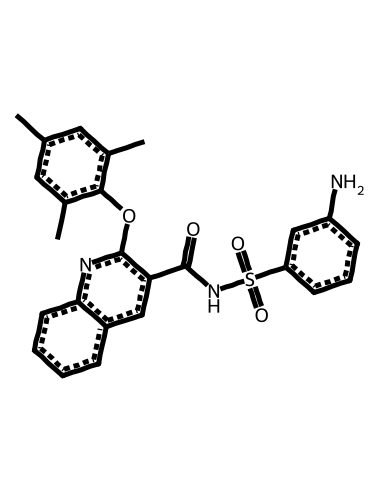 Cc1cc(C)c(Oc2nc3ccccc3cc2C(=O)NS(=O)(=O)c2cccc(N)c2)c(C)c1